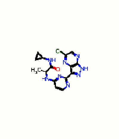 C[C@H](Nc1ccnc(-c2n[nH]c3ncc(Cl)nc23)n1)C(=O)NC1CC1